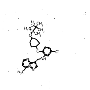 Cc1ccnc2c(CNc3cc(Cl)ccc3OC3CCC(O[Si](C)(C)C(C)(C)C)CC3)cnn12